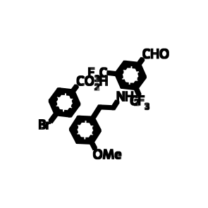 COc1cccc(CCN)c1.O=C(O)c1ccc(Br)cc1.O=Cc1cc(C(F)(F)F)cc(C(F)(F)F)c1